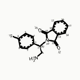 NC[C@@H](c1ccc(F)cc1)N1C(=O)c2ccccc2C1=O